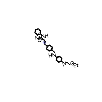 CCOCCN(C)c1ccc(NCc2ccc(/C=C/C(=O)Nc3ccccc3N)cc2)cc1